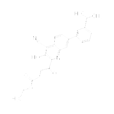 CCOC(=O)CCC(=O)c1nc2cc(-c3cccc(C(C)C)c3)ccc2c(C#N)c1O